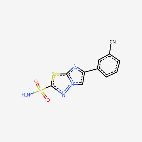 N#Cc1cccc(-c2cn3nc(S(N)(=O)=O)sc3n2)c1